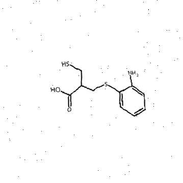 Nc1ccccc1SCC(CS)C(=O)O